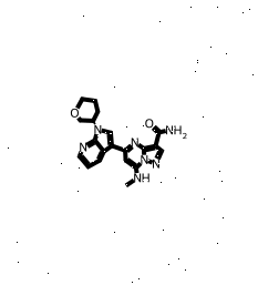 CNc1cc(-c2cn([C@H]3CCCOC3)c3ncccc23)nc2c(C(N)=O)cnn12